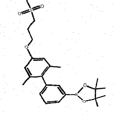 CCS(=O)(=O)CCCOc1cc(C)c(-c2cccc(B3OC(C)(C)C(C)(C)O3)c2)c(C)c1